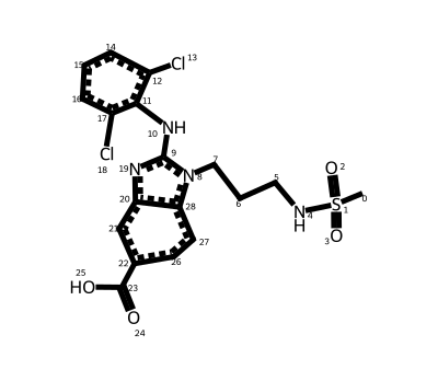 CS(=O)(=O)NCCCn1c(Nc2c(Cl)cccc2Cl)nc2cc(C(=O)O)ccc21